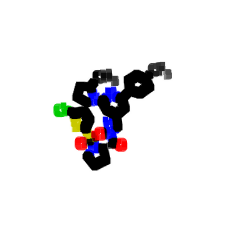 CC1CCCN1c1cc(CNC(=O)[C@@H]2C=CCN2S(=O)(=O)c2ccc(Cl)s2)cc(-c2ccc(C(F)(F)F)cc2)n1